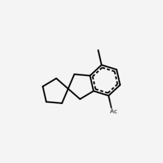 CC(=O)c1ccc(C)c2c1CC1(CCCC1)C2